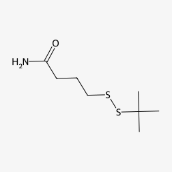 CC(C)(C)SSCCCC(N)=O